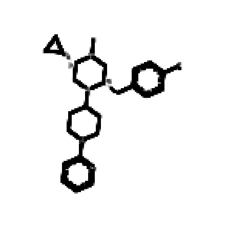 CN1C[C@H](Cc2ccc(Cl)cc2)N(C2CCN(c3ccccn3)CC2)C[C@@H]1C1CC1